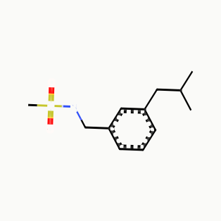 CC(C)Cc1cccc(CNS(C)(=O)=O)c1